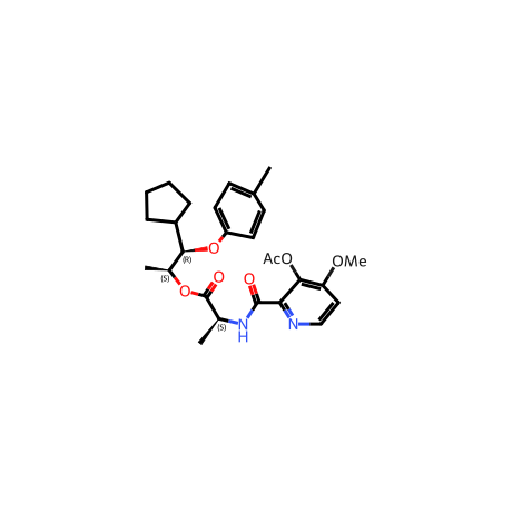 COc1ccnc(C(=O)N[C@@H](C)C(=O)O[C@@H](C)[C@H](Oc2ccc(C)cc2)C2CCCC2)c1OC(C)=O